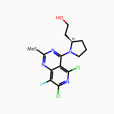 CSc1nc(N2CCC[C@@H]2CCO)c2c(Cl)nc(Cl)c(F)c2n1